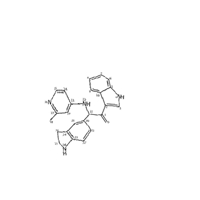 C=C(c1c[nH]c2ccccc12)C(Nc1ccnc(C)c1)c1ccc2c(c1)CCN2